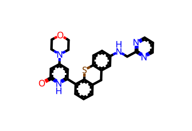 O=c1cc(N2CCOCC2)cc(-c2cccc3c2Sc2ccc(NCc4ncccn4)cc2C3)[nH]1